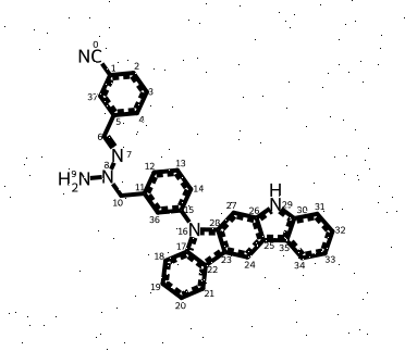 N#Cc1cccc(/C=N/N(N)Cc2cccc(-n3c4ccccc4c4cc5c(cc43)[nH]c3ccccc35)c2)c1